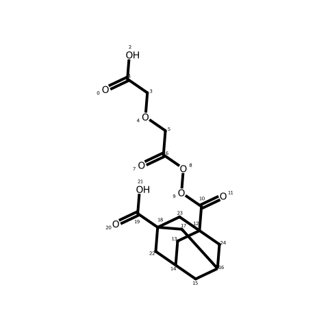 O=C(O)COCC(=O)OOC(=O)C12CC3CC(CC(C(=O)O)(C3)C1)C2